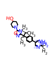 C=C(N)/N=C\C(=C/N)c1ccc([C@@](C)(c2noc(N3CCC(O)CC3)n2)C(C)C)cc1